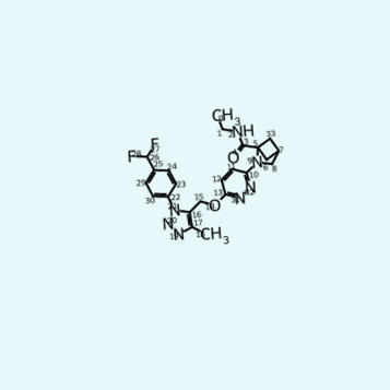 CCNC(=O)C12CC(CN1c1ccc(OCc3c(C)nnn3-c3ccc(C(F)F)cc3)nn1)C2